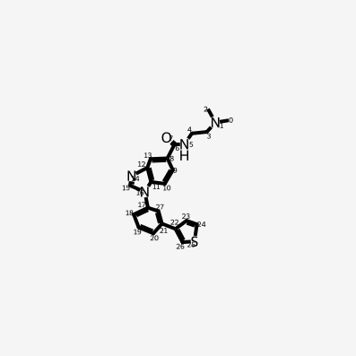 CN(C)CCNC(=O)c1ccc2c(c1)ncn2-c1cccc(-c2ccsc2)c1